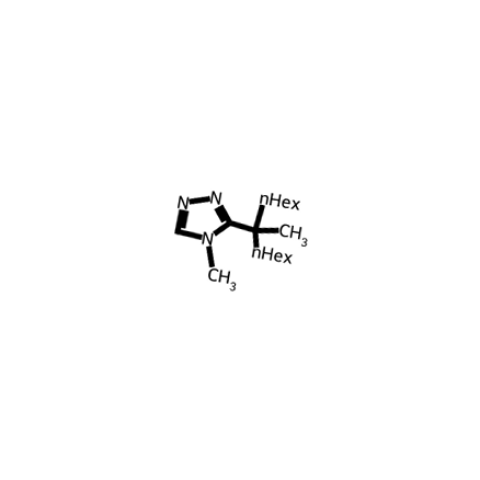 CCCCCCC(C)(CCCCCC)c1nncn1C